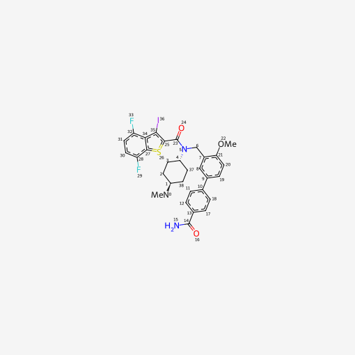 CN[C@H]1CC[C@H](N(Cc2cc(-c3ccc(C(N)=O)cc3)ccc2OC)C(=O)c2sc3c(F)ccc(F)c3c2I)CC1